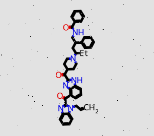 C=CCn1c(C(=O)c2cccc3[nH]c(C(=O)C4CCN(C(CC)CC(CNC(=O)c5ccccc5)c5ccccc5)CC4)nc23)nc2ccccc21